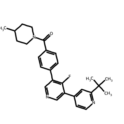 CC1CCN(C(=O)c2ccc(-c3cncc(-c4ccnc(C(C)(C)C)c4)c3F)cc2)CC1